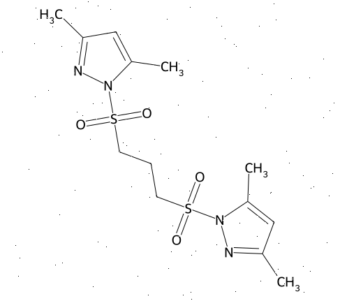 Cc1cc(C)n(S(=O)(=O)CCCS(=O)(=O)n2nc(C)cc2C)n1